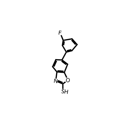 Fc1cccc(-c2ccc3nc(S)oc3c2)c1